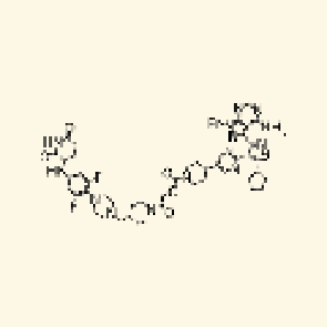 CC(C)n1nc(-c2noc(C3CCCC3)c2-c2ncc(C3CCN(C(=O)OCC(=O)N4CCC(CN5CCN(c6c(F)cc(NC7CCC(=O)NC7=O)cc6F)CC5)CC4)CC3)cn2)c2c(N)ncnc21